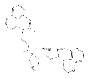 C#CCC(CC#C)(C(O)/C=C/C1C(OC)=Cc2cccc3cccc1c23)C(O)/C=C/C1C(OC)=Cc2cccc3cccc1c23